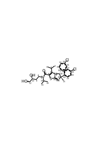 CC(C)C1=C(C(=O)N(CC[C@H](O)CO)C(C)C)SC2=N[C@@](C)(c3ccc(Cl)cc3)[C@@H](c3ccc(Cl)cc3)N21